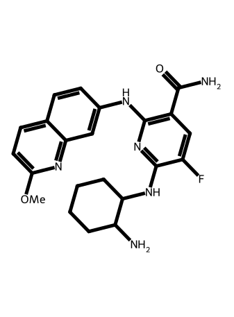 COc1ccc2ccc(Nc3nc(NC4CCCCC4N)c(F)cc3C(N)=O)cc2n1